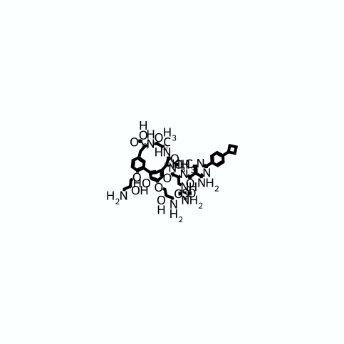 Cc1nc(-c2ccc(C3CCC3)cc2)nc(N)c1C(=O)NC(CNS(N)(=O)=O)C(=O)N(C)[C@@H]1C(=O)N[C@@H](C)C(=O)N[C@H](C(=O)O)Cc2ccc(OCC(O)CN)c(c2)-c2cc1cc(OCC(O)CN)c2O